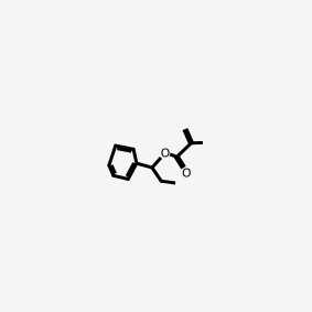 C=C(C)C(=O)OC(CC)c1ccccc1